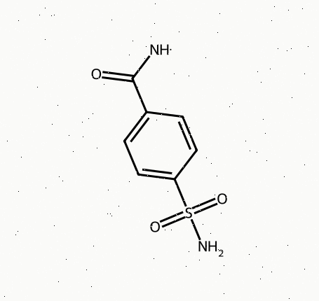 [NH]C(=O)c1ccc(S(N)(=O)=O)cc1